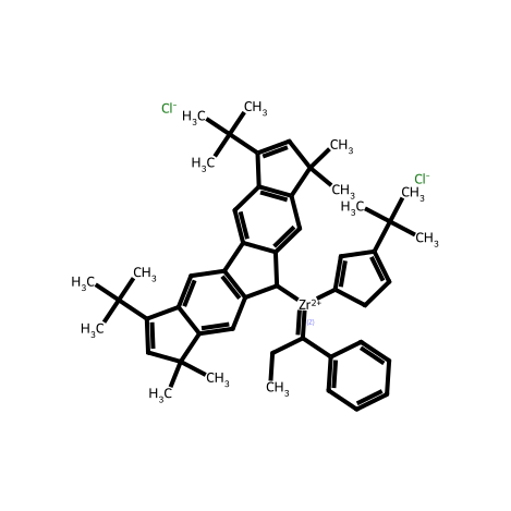 CC/[C](c1ccccc1)=[Zr+2](/[C]1=CC(C(C)(C)C)=CC1)[CH]1c2cc3c(cc2-c2cc4c(cc21)C(C)(C)C=C4C(C)(C)C)C(C(C)(C)C)=CC3(C)C.[Cl-].[Cl-]